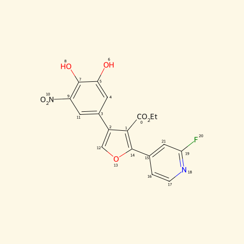 CCOC(=O)c1c(-c2cc(O)c(O)c([N+](=O)[O-])c2)coc1-c1ccnc(F)c1